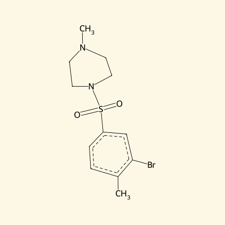 Cc1ccc(S(=O)(=O)N2CCN(C)CC2)cc1Br